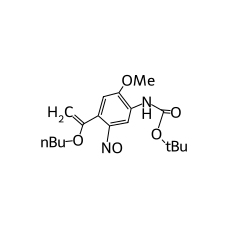 C=C(OCCCC)c1cc(OC)c(NC(=O)OC(C)(C)C)cc1N=O